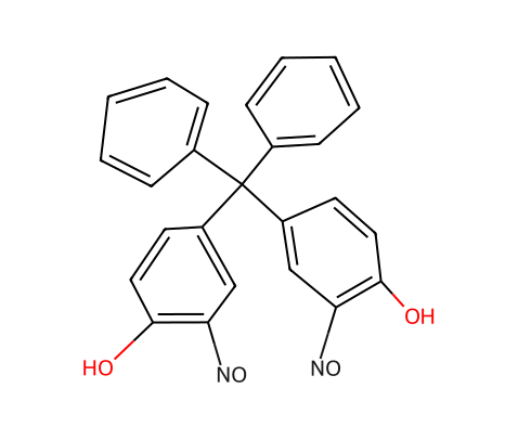 O=Nc1cc(C(c2ccccc2)(c2ccccc2)c2ccc(O)c(N=O)c2)ccc1O